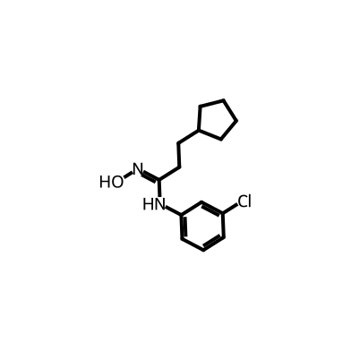 O/N=C(/CCC1CCCC1)Nc1cccc(Cl)c1